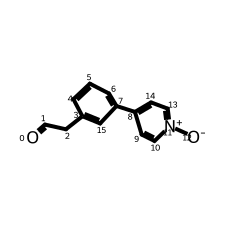 O=CCc1cccc(-c2cc[n+]([O-])cc2)c1